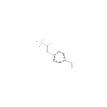 ClCc1ccc(CC(Cl)[Si](Cl)(Cl)Cl)cc1